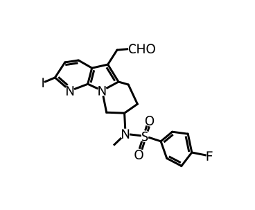 CN(C1CCc2c(CC=O)c3ccc(I)nc3n2C1)S(=O)(=O)c1ccc(F)cc1